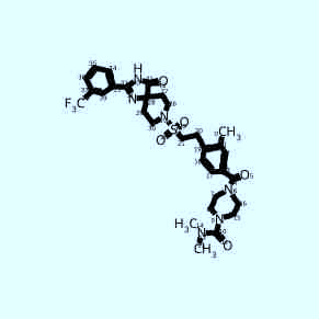 Cc1cc(C(=O)N2CCN(C(=O)N(C)C)CC2)ccc1CCS(=O)(=O)N1CCC2(CC1)N=C(c1cccc(C(F)(F)F)c1)NC2=O